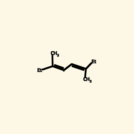 CC/C(C)=[C]/C=C(\C)CC